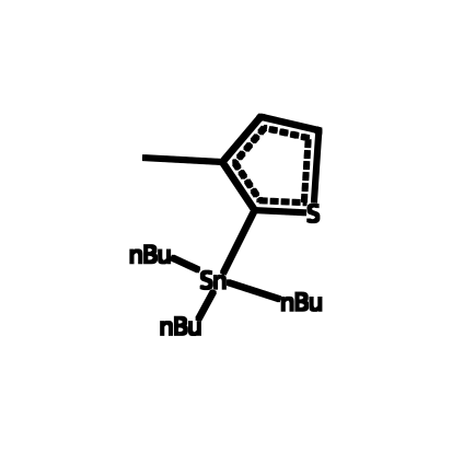 CCC[CH2][Sn]([CH2]CCC)([CH2]CCC)[c]1sccc1C